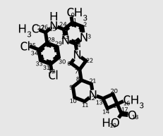 Cc1cnc(N2CC(C3CCCN(C4CC(C)(C(=O)O)C4)C3)C2)nc1NC(C)c1ccc(Cl)cc1Cl